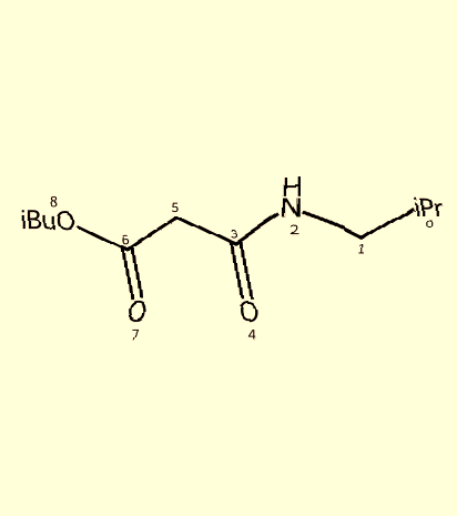 CC(C)CNC(=O)CC(=O)OCC(C)C